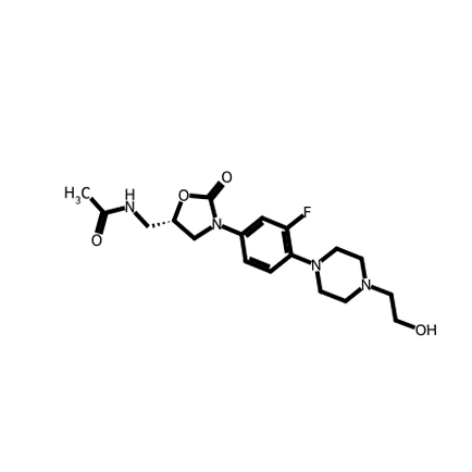 CC(=O)NC[C@H]1CN(c2ccc(N3CCN(CCO)CC3)c(F)c2)C(=O)O1